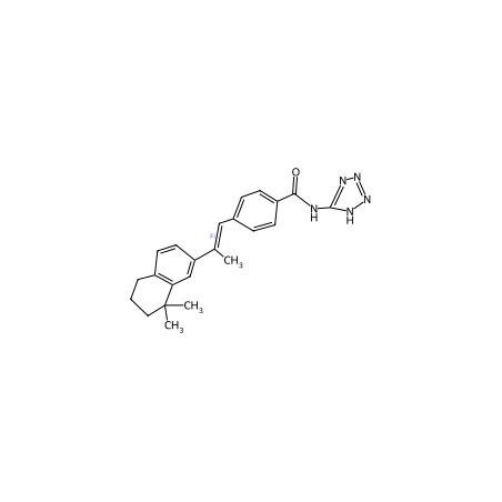 C/C(=C\c1ccc(C(=O)Nc2nnn[nH]2)cc1)c1ccc2c(c1)C(C)(C)CCC2